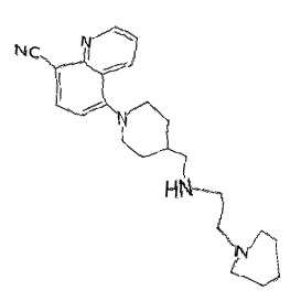 N#Cc1ccc(N2CCC(CNCCN3CCCCC3)CC2)c2cccnc12